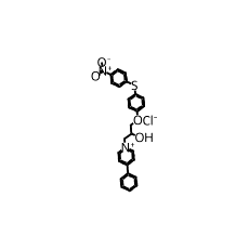 O=[N+]([O-])c1ccc(Sc2ccc(OCC(O)C[n+]3ccc(-c4ccccc4)cc3)cc2)cc1.[Cl-]